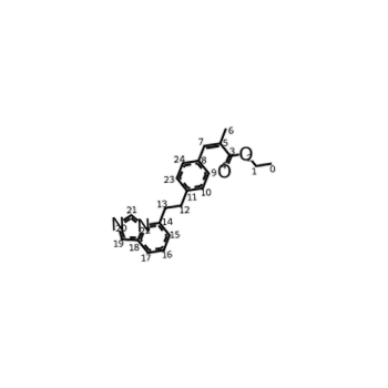 CCOC(=O)C(C)=Cc1ccc(CCc2cccc3cncn23)cc1